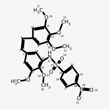 COc1cc(/C=C\c2cc(OC)c(OC)c(OC)c2)cc(NS(=O)(=O)c2ccc([N+](=O)[O-])cc2)c1OC